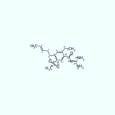 CC=CCCc1cc(CC)c(C(=O)N=C(N)N)cc1S(C)(=O)=O